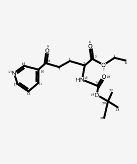 CCOC(=O)C(CCC(=O)c1cccnc1)NC(=O)OC(C)(C)C